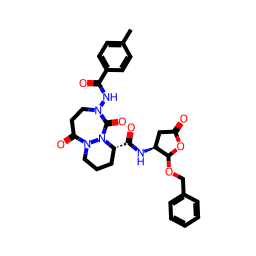 Cc1ccc(C(=O)NN2CCC(=O)N3CCC[C@@H](C(=O)N[C@H]4CC(=O)OC4OCc4ccccc4)N3C2=O)cc1